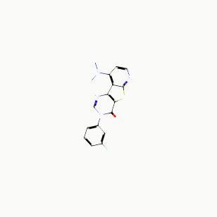 CN(C)c1ccnc2sc3c(=O)n(-c4cccc(F)c4)cnc3c12